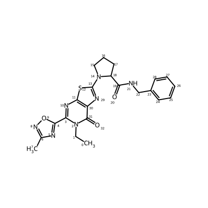 CCn1c(-c2nc(C)no2)nc2sc(N3CCCC3C(=O)NCc3ccccc3)nc2c1=O